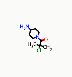 CC(C)(Cl)C(=O)N1CCC(N)CC1